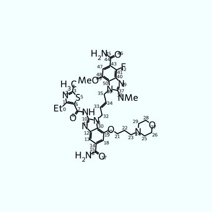 CCc1nc(C)sc1C(=O)Nc1nc2cc(C(N)=O)cc(OCCCN3CCOCC3)c2n1C/C=C/Cn1c(NC)nc2c(F)c(C(N)=O)cc(OC)c21